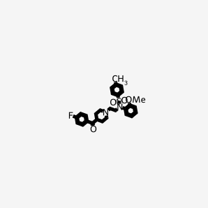 COc1ccccc1N(CCN1CCC(C(=O)c2ccc(F)cc2)CC1)S(=O)(=O)c1ccc(C)cc1